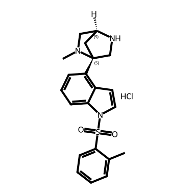 Cc1ccccc1S(=O)(=O)n1ccc2c([C@@]34CN[C@H](CN3C)C4)cccc21.Cl